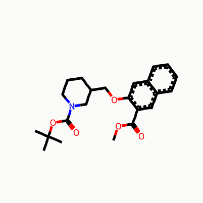 COC(=O)c1cc2ccccc2cc1OCC1CCCN(C(=O)OC(C)(C)C)C1